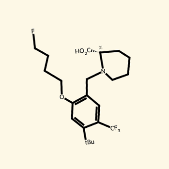 CC(C)(C)c1cc(OCCCCF)c(CN2CCCC[C@H]2C(=O)O)cc1C(F)(F)F